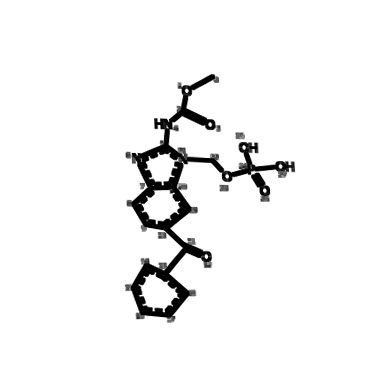 COC(=O)Nc1nc2ccc(C(=O)c3ccccc3)cc2n1COP(=O)(O)O